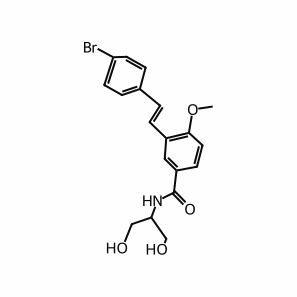 COc1ccc(C(=O)NC(CO)CO)cc1C=Cc1ccc(Br)cc1